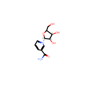 NC(=O)c1ccc[n+]([C@@H]2OC(CO)[C@@H](O)[C@H]2O)c1